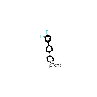 CCCC(C)[Si@H]1CC[C@H](C2CCC(c3ccc(F)c(F)c3)CC2)CC1